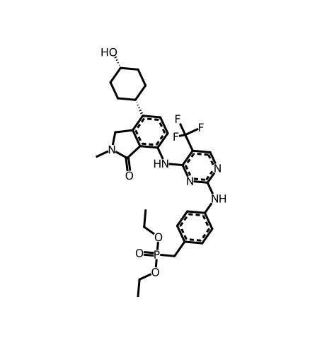 CCOP(=O)(Cc1ccc(Nc2ncc(C(F)(F)F)c(Nc3ccc([C@H]4CC[C@@H](O)CC4)c4c3C(=O)N(C)C4)n2)cc1)OCC